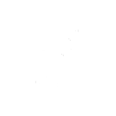 CC(=O)CCN1[C+]N(C)C=C1.[Br-]